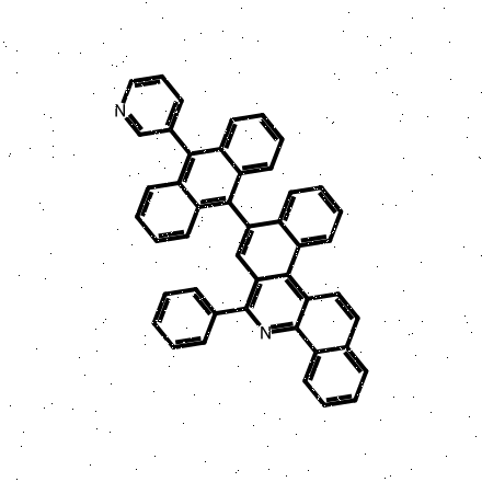 c1ccc(-c2nc3c4ccccc4ccc3c3c2cc(-c2c4ccccc4c(-c4cccnc4)c4ccccc24)c2ccccc23)cc1